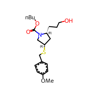 CCCCOC(=O)N1C[C@H](SCc2ccc(OC)cc2)C[C@H]1CCCO